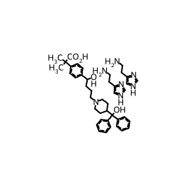 CC(C)(C(=O)O)c1ccc(C(O)CCCN2CCC(C(O)(c3ccccc3)c3ccccc3)CC2)cc1.NCCc1c[nH]cn1.NCCc1c[nH]cn1